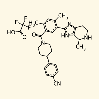 Cc1cc(C)c(-c2nc3c([nH]2)[C@H](C)NCC3)cc1C(=O)N1CCC(c2ccc(C#N)cc2)CC1.O=C(O)C(F)(F)F